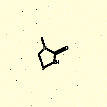 CN1CSNC1=O